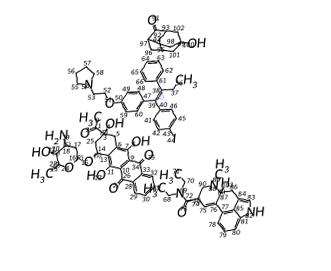 CC(=O)[C@]1(O)Cc2c(O)c3c(c(O)c2[C@@H](O[C@H]2C[C@H](N)[C@H](O)[C@H](C)O2)C1)C(=O)c1ccccc1C3=O.CC/C(=C(\c1ccc(I)cc1)c1ccc(OCCN2CCCC2)cc1)c1ccccc1.CCN(CC)C(=O)[C@@H]1C=C2c3cccc4[nH]cc(c34)C[C@H]2N(C)C1.O=C1C2CC3CC1CC(O)(C3)C2